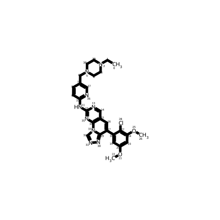 CCN1CCN(Cc2ccc(Nc3ncc4cc(-c5cc(OC)cc(OC)c5Cl)c5nncn5c4n3)nc2)CC1